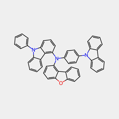 c1ccc(-n2c3ccccc3c3c(N(c4ccc(-n5c6ccccc6c6ccccc65)cc4)c4cccc5oc6ccccc6c45)cccc32)cc1